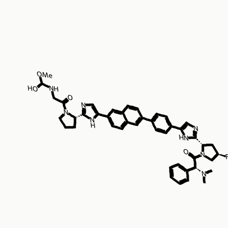 COC(O)NCC(=O)N1CCC[C@H]1c1ncc(-c2ccc3cc(-c4ccc(-c5cnc([C@@H]6C[C@@H](F)CN6C(=O)[C@@H](c6ccccc6)N(C)C)[nH]5)cc4)ccc3c2)[nH]1